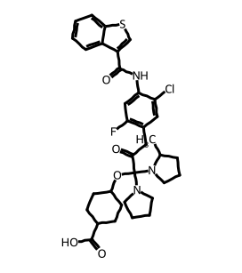 CC1CCCN1C(OC1CCC(C(=O)O)CC1)(C(=O)Cc1cc(Cl)c(NC(=O)c2csc3ccccc23)cc1F)N1CCCC1